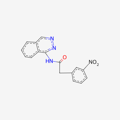 O=C(Cc1cccc([N+](=O)[O-])c1)Nc1nncc2ccccc12